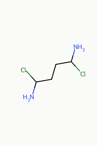 NC(Cl)CCC(N)Cl